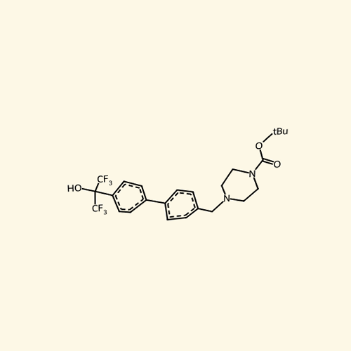 CC(C)(C)OC(=O)N1CCN(Cc2ccc(-c3ccc(C(O)(C(F)(F)F)C(F)(F)F)cc3)cc2)CC1